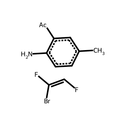 CC(=O)c1cc(C)ccc1N.FC=C(F)Br